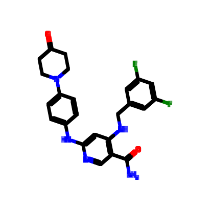 NC(=O)c1cnc(Nc2ccc(N3CCC(=O)CC3)cc2)cc1NCc1cc(F)cc(F)c1